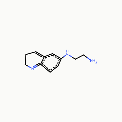 NCCNc1ccc2c(c1)=CCCN=2